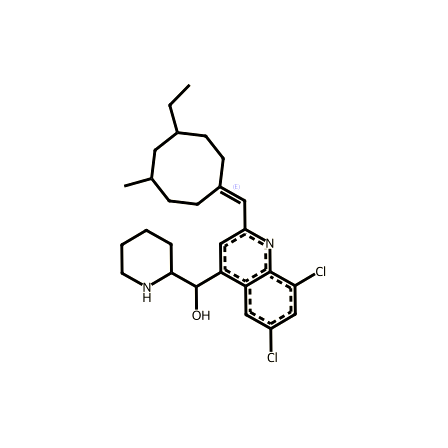 CCC1CC/C(=C/c2cc(C(O)C3CCCCN3)c3cc(Cl)cc(Cl)c3n2)CCC(C)C1